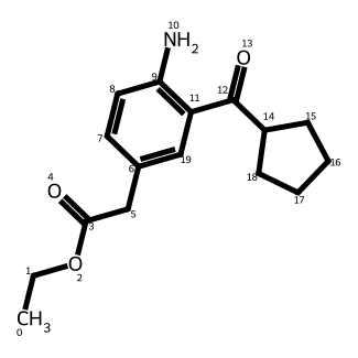 CCOC(=O)Cc1ccc(N)c(C(=O)C2CCCC2)c1